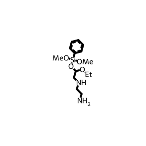 CCOC(CNCCN)O[Si](OC)(OC)c1ccccc1